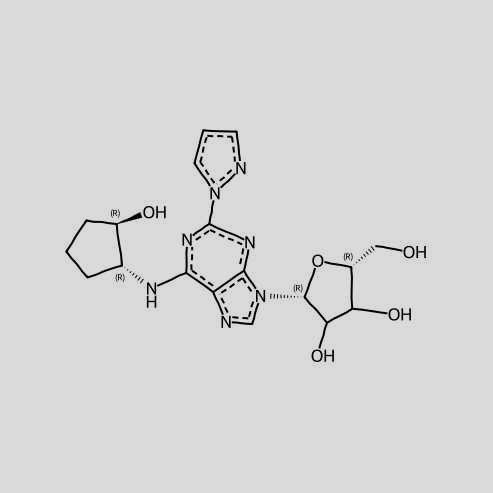 OC[C@H]1O[C@@H](n2cnc3c(N[C@@H]4CCC[C@H]4O)nc(-n4cccn4)nc32)C(O)C1O